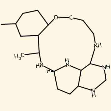 CC1N[C@H]2CCC3NCNC(NCCCOC4CCC(F)CC14)C3N2